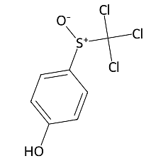 [O-][S+](c1ccc(O)cc1)C(Cl)(Cl)Cl